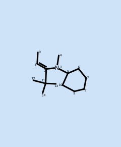 C/C=C(\N(C)C1CCCCC1)C(C)(C)C